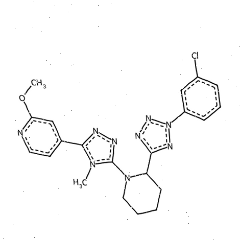 COc1cc(-c2nnc(N3CCCCC3c3nnn(-c4cccc(Cl)c4)n3)n2C)ccn1